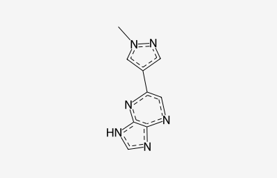 Cn1cc(-c2cnc3nc[nH]c3n2)cn1